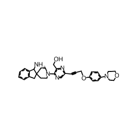 NC1c2ccccc2CC12CCN(c1ncc(C#CCOc3ccc(N4CCOCC4)cc3)nc1CO)CC2